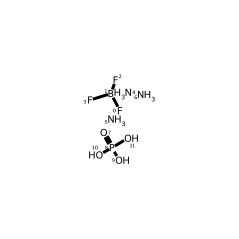 FB(F)F.N.N.N.O=P(O)(O)O